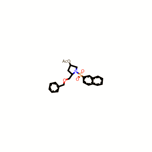 CC(=O)OC1CC(COCc2ccccc2)N(S(=O)(=O)c2ccc3ccccc3c2)C1